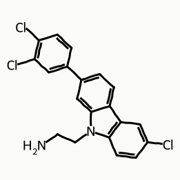 NCCn1c2ccc(Cl)cc2c2ccc(-c3ccc(Cl)c(Cl)c3)cc21